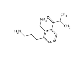 CC(C)C(=O)c1cccc(CCCN)c1CN